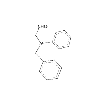 O=[C]CN(Cc1ccccc1)c1ccccc1